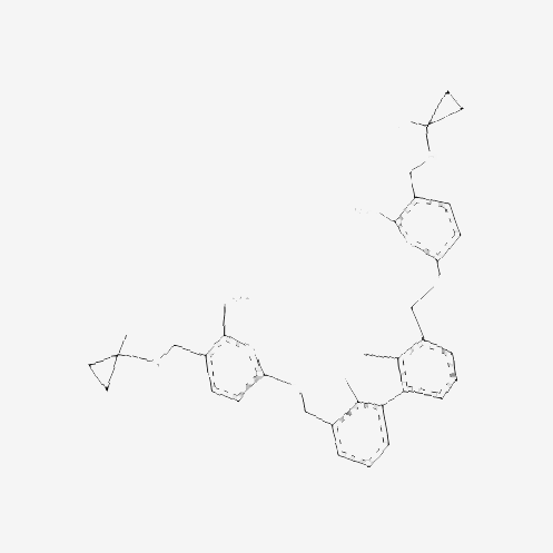 COc1nc(OCc2cccc(-c3cccc(COc4ccc(CNC5(C(=O)O)CC5)c(OC)n4)c3C)c2C)ccc1CNC1(C=O)CC1